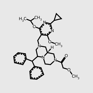 COCC(=O)N1CCN2C(C(c3ccccc3)c3ccccc3)CN(Cc3c(OC)nc(C4CC4)nc3OC(C)C)C[C@@H]2C1